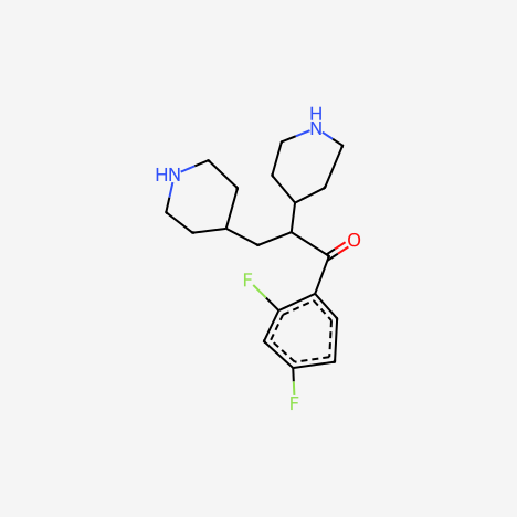 O=C(c1ccc(F)cc1F)C(CC1CCNCC1)C1CCNCC1